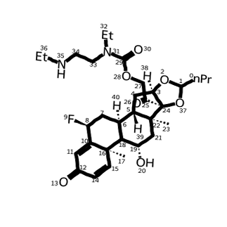 CCCC1O[C@@H]2C[C@H]3[C@@H]4C[C@H](F)C5=CC(=O)C=C[C@]5(C)C4[C@@H](O)C[C@]3(C)[C@]2(C(=O)COC(=O)N(CC)CCNCC)O1